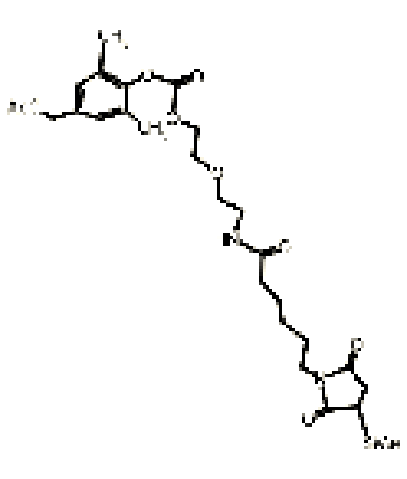 CSC1CC(=O)N(CCCCCC(=O)NCCOCCOC(=O)Oc2c(C)cc(COC(C)=O)cc2C)C1=O